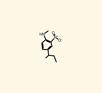 CCC(C)c1ccc(NC)c([N+](=O)[O-])c1